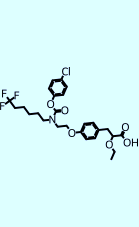 CCOC(Cc1ccc(OCCN(CCCCCC(F)(F)F)C(=O)Oc2ccc(Cl)cc2)cc1)C(=O)O